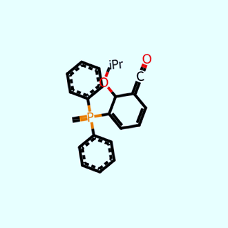 C=P(C1=CC=CC(=C=O)C1OC(C)C)(c1ccccc1)c1ccccc1